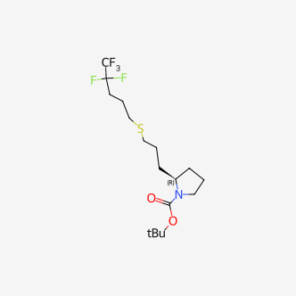 CC(C)(C)OC(=O)N1CCC[C@@H]1CCCSCCCC(F)(F)C(F)(F)F